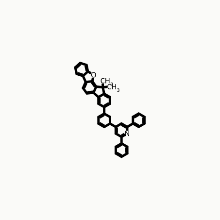 CC1(C)c2ccc(C3=CC=CC(c4cc(-c5ccccc5)nc(-c5ccccc5)c4)C3)cc2-c2ccc3c(oc4ccccc43)c21